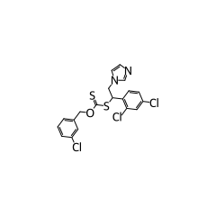 S=C(OCc1cccc(Cl)c1)SC(Cn1ccnc1)c1ccc(Cl)cc1Cl